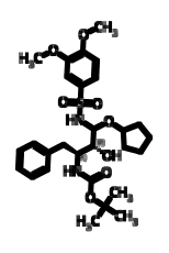 COc1ccc(S(=O)(=O)NC(OC2CCCC2)[C@H](O)[C@H](Cc2ccccc2)NC(=O)OC(C)(C)C)cc1OC